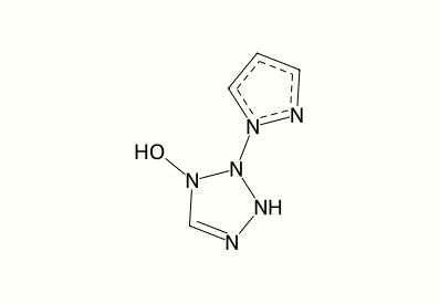 ON1C=NNN1n1cccn1